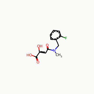 CN(Cc1ccccc1F)C(=O)C=C(O)C(=O)O